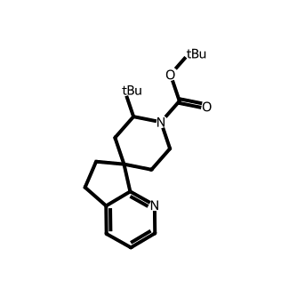 CC(C)(C)OC(=O)N1CCC2(CCc3cccnc32)CC1C(C)(C)C